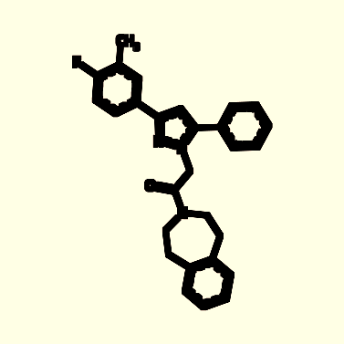 Cc1cc(-c2cc(-c3ccccc3)n(CC(=O)N3CCc4ccccc4CC3)n2)ccc1F